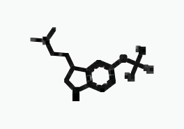 [2H]C([2H])([2H])Oc1ccc2c(c1)C(CCN(C)C)CN2